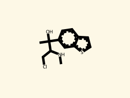 CNC(CCl)C(C)(O)c1ccc2ccsc2c1